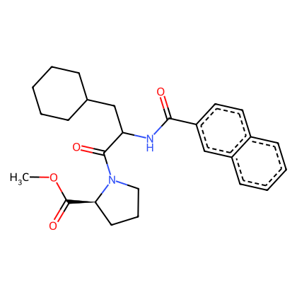 COC(=O)[C@@H]1CCCN1C(=O)C(CC1CCCCC1)NC(=O)c1ccc2ccccc2c1